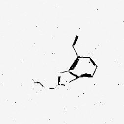 C=Cc1cccc2sc(SN)nc12